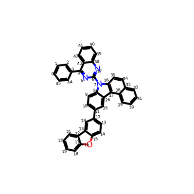 c1ccc(-c2nc(-n3c4ccc(-c5ccc6oc7ccccc7c6c5)cc4c4c5ccccc5ccc43)nc3ccccc23)cc1